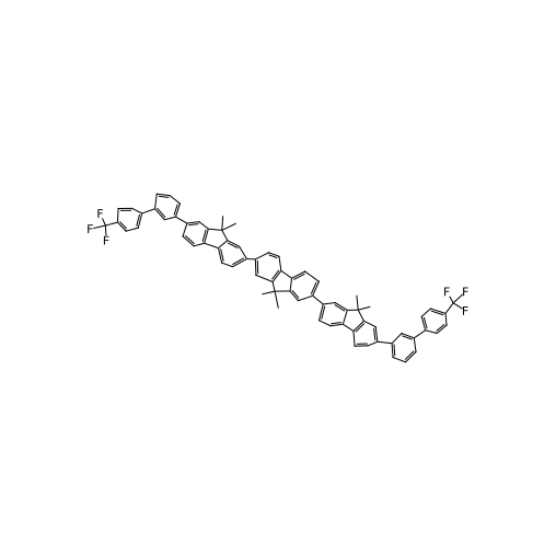 CC1(C)c2cc(-c3cccc(-c4ccc(C(F)(F)F)cc4)c3)ccc2-c2ccc(-c3ccc4c(c3)C(C)(C)c3cc(-c5ccc6c(c5)C(C)(C)c5cc(-c7cccc(-c8ccc(C(F)(F)F)cc8)c7)ccc5-6)ccc3-4)cc21